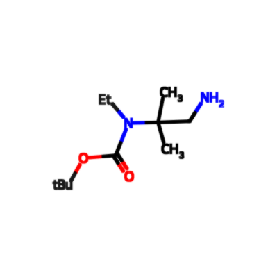 CCN(C(=O)OC(C)(C)C)C(C)(C)CN